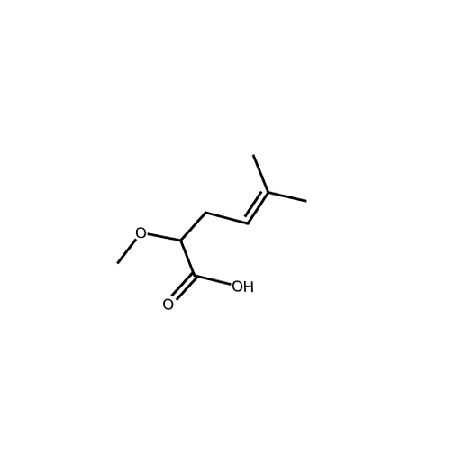 COC(CC=C(C)C)C(=O)O